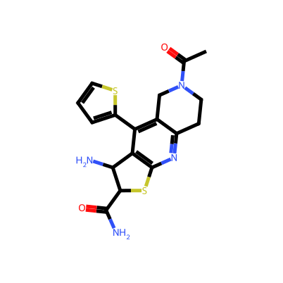 CC(=O)N1CCc2nc3c(c(-c4cccs4)c2C1)C(N)C(C(N)=O)S3